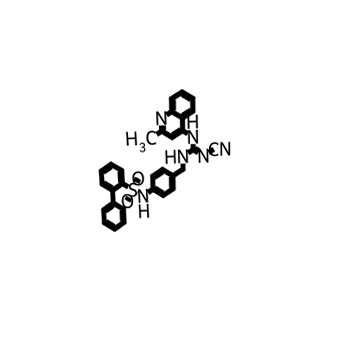 Cc1cc(N/C(=N\C#N)NCc2ccc(NS(=O)(=O)c3ccccc3-c3ccccc3)cc2)c2ccccc2n1